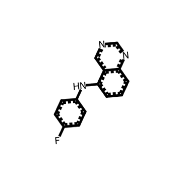 Fc1ccc(Nc2cccc3ncncc23)cc1